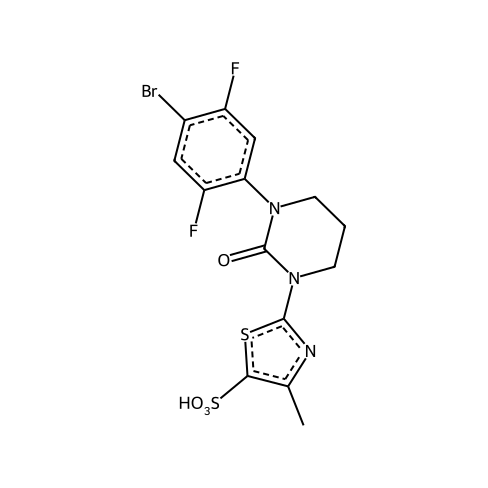 Cc1nc(N2CCCN(c3cc(F)c(Br)cc3F)C2=O)sc1S(=O)(=O)O